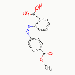 COC(=O)c1ccc(/N=N\c2ccccc2B(O)O)cc1